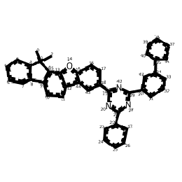 CC1(C)c2ccccc2-c2ccc3c(oc4ccc(-c5nc(-c6ccccc6)nc(-c6cccc(-c7ccccc7)c6)n5)cc43)c21